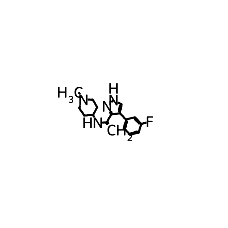 C=C(NC1CCN(C)CC1)c1n[nH]cc1-c1cccc(F)c1